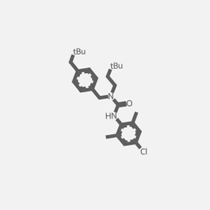 Cc1cc(Cl)cc(C)c1NC(=O)N(CCC(C)(C)C)Cc1ccc(CC(C)(C)C)cc1